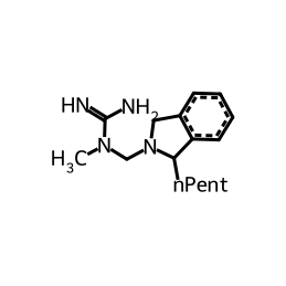 CCCCCC1c2ccccc2CN1CN(C)C(=N)N